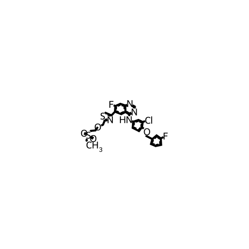 CCS(=O)(=O)CCOCc1nc(-c2cc3c(Nc4ccc(OCc5cccc(F)c5)c(Cl)c4)ncnc3cc2F)cs1